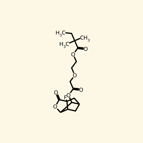 CCC(C)(C)C(=O)OCCOCC(=O)OC1C2CC3C1OC(=O)C3(F)C2